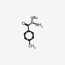 CCCCN(N)C(=O)c1ccc(C)cc1